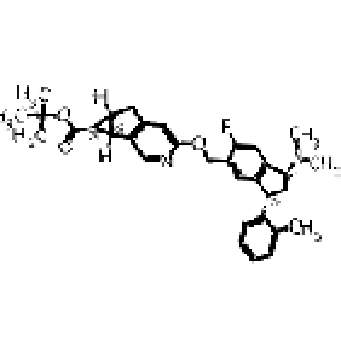 Cc1ccccc1[C@H]1C[C@H](N(C)C)c2cc(F)c(COc3cc4c(cn3)[C@H]3[C@@H](C4)[C@@H]3C(=O)OC(C)(C)C)cc21